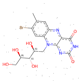 Cc1cc2nc3c(=O)[nH]c(=O)nc-3n(C[C@H](O)[C@H](O)[C@H](O)CO)c2cc1Br